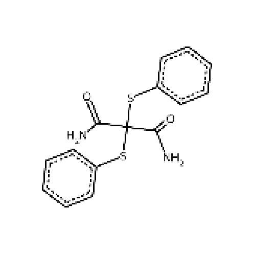 NC(=O)C(Sc1ccccc1)(Sc1ccccc1)C(N)=O